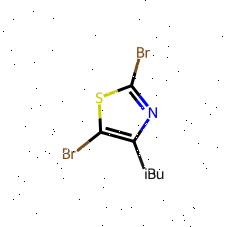 CCC(C)c1nc(Br)sc1Br